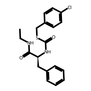 CCNC(=O)[C@H](Cc1ccccc1)NC(=O)SCc1ccc(Cl)cc1